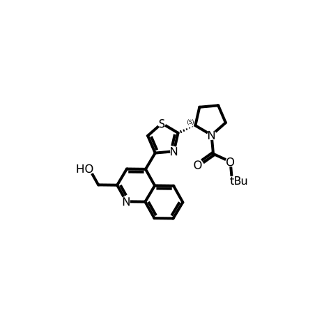 CC(C)(C)OC(=O)N1CCC[C@H]1c1nc(-c2cc(CO)nc3ccccc23)cs1